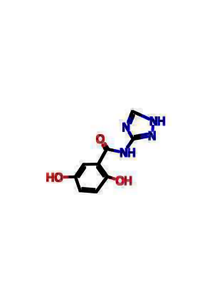 O=C(Nc1nc[nH]n1)c1cc(O)ccc1O